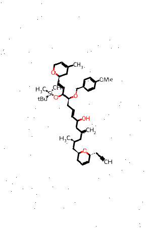 C#CC[C@@H]1C=CC[C@@H](C[C@@H](C)CC(=C)CC(O)/C=C/C[C@H](OCc2ccc(OC)cc2)C(/C=C/[C@@H]2CC(C)=CCO2)O[Si](C)(C)C(C)(C)C)O1